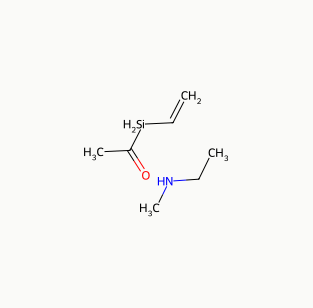 C=C[SiH2]C(C)=O.CCNC